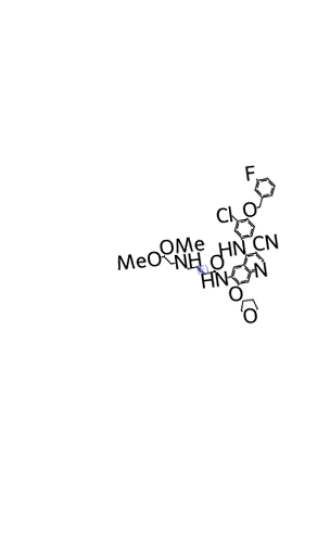 COC(CNC/C=C/C(=O)Nc1cc2c(Nc3ccc(OCc4cccc(F)c4)c(Cl)c3)c(C#N)cnc2cc1OC1CCOC1)OC